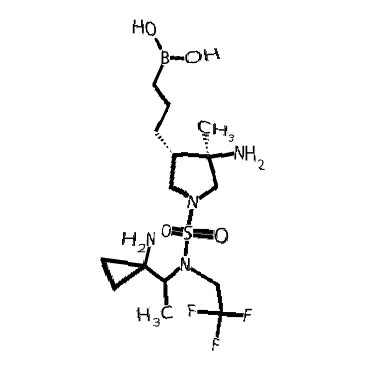 CC(N(CC(F)(F)F)S(=O)(=O)N1C[C@H](CCCB(O)O)[C@@](C)(N)C1)C1(N)CC1